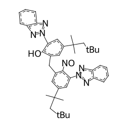 CC(C)(C)CC(C)(C)c1cc(Cc2cc(C(C)(C)CC(C)(C)C)cc(-n3nc4ccccc4n3)c2N=O)c(O)c(-n2nc3ccccc3n2)c1